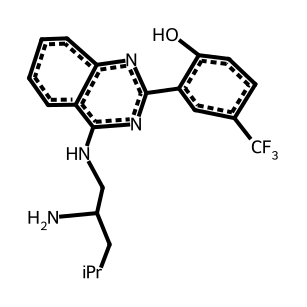 CC(C)CC(N)CNc1nc(-c2cc(C(F)(F)F)ccc2O)nc2ccccc12